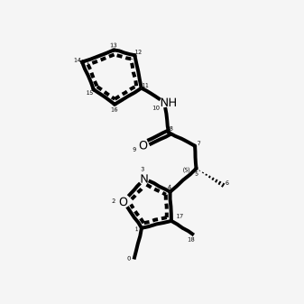 Cc1onc([C@@H](C)CC(=O)Nc2ccccc2)c1C